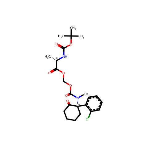 C[C@H](NC(=O)OC(C)(C)C)C(=O)OCOC(=O)N(C)[C@]1(c2ccccc2Cl)CCCCC1=O